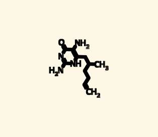 C=CCCC(C)Cc1[nH]c(N)nc(=O)c1N